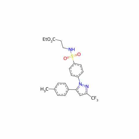 CCOC(=O)CCNS(=O)(=O)c1ccc(-n2nc(C(F)(F)F)cc2-c2ccc(C)cc2)cc1